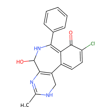 CC1=NC2=C(CN1)C1=CC=C(Cl)C(=O)C1=C(c1ccccc1)NC2O